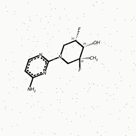 C[C@]1(F)CN(c2nccc(N)n2)C[C@H](F)[C@@H]1O